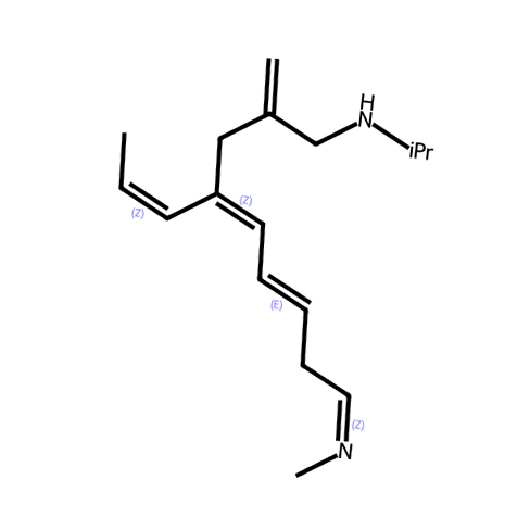 C=C(CNC(C)C)CC(/C=C\C)=C/C=C/C/C=N\C